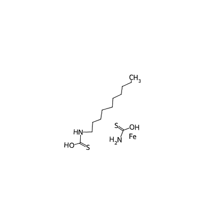 CCCCCCCCCCNC(O)=S.NC(O)=S.[Fe]